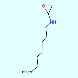 CCCCCCCCCCCCNC1CO1